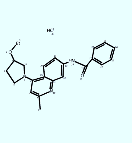 CCOC1CCN(c2cc(C)nc3cc(NC(=O)c4ccccc4)ccc23)C1.Cl